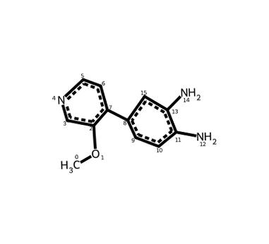 COc1cnccc1-c1ccc(N)c(N)c1